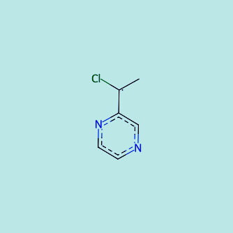 C[C](Cl)c1cnccn1